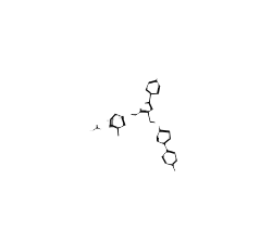 CCC(Oc1ccc(SCc2sc(-c3ccc(C(F)(F)F)cc3)cc2COc2ccc(-c3ccc(C)cc3)cc2)cc1C)C(=O)O